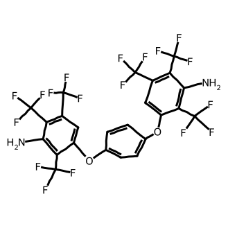 Nc1c(C(F)(F)F)c(Oc2ccc(Oc3cc(C(F)(F)F)c(C(F)(F)F)c(N)c3C(F)(F)F)cc2)cc(C(F)(F)F)c1C(F)(F)F